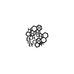 CC[C@H]1CC[C@H]2[C@@H]3CCC4CCCC(C(=O)C5CCCC6CC[C@@H]7[C@H](CC[C@]8(C)[C@@H](CC)CC[C@@H]78)[C@@H]65)[C@H]4[C@H]3CC[C@]12C